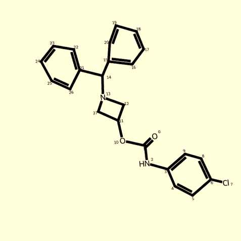 O=C(Nc1ccc(Cl)cc1)OC1CN(C(c2ccccc2)c2ccccc2)C1